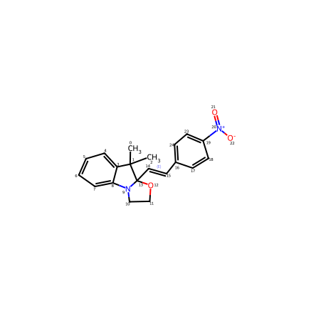 CC1(C)c2ccccc2N2CCOC21/C=C/c1ccc([N+](=O)[O-])cc1